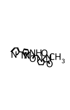 CN1C(=O)C2=C(C1=O)N(CC(=O)Nc1ccc(-c3cccnc3)nn1)CCC2